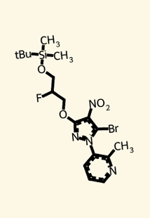 Cc1ncccc1-n1nc(OCC(F)CO[Si](C)(C)C(C)(C)C)c([N+](=O)[O-])c1Br